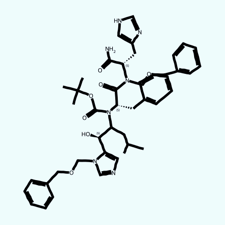 CC(C)CC([C@H](O)c1cncn1COCc1ccccc1)N(C(=O)OC(C)(C)C)[C@@H](Cc1ccccc1)C(=O)N(COCc1ccccc1)[C@@H](Cc1c[nH]cn1)C(N)=O